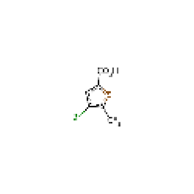 O=C(O)c1cc(Br)c(C(F)(F)F)s1